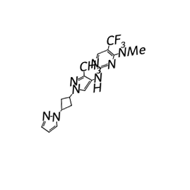 CNc1nc(Nc2cn(C3CC(n4cccn4)C3)nc2C)ncc1C(F)(F)F